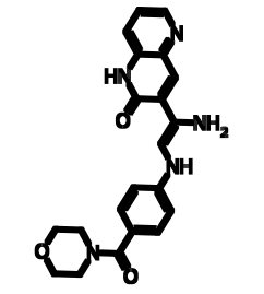 N/C(=C\Nc1ccc(C(=O)N2CCOCC2)cc1)c1cc2ncccc2[nH]c1=O